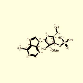 CO[C@@]1(O)[C@H](OP(=O)(O)O)[C@@H](CO)O[C@H]1n1cnc2c(N)ncnc21